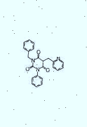 O=C1C(Cc2ccccn2)C(=O)N(c2ccccc2)C(=O)N1Cc1ccccc1